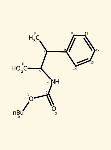 CCCCOC(=O)NC(C(=O)O)C(C)c1ccccc1